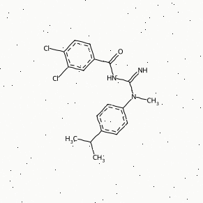 CC(C)c1ccc(N(C)C(=N)NC(=O)c2ccc(Cl)c(Cl)c2)cc1